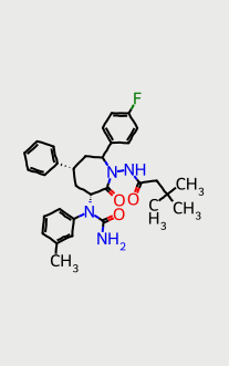 Cc1cccc(N(C(N)=O)[C@@H]2C[C@H](c3ccccc3)CC(c3ccc(F)cc3)N(NC(=O)CC(C)(C)C)C2=O)c1